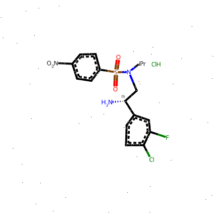 CC(C)N(C[C@@H](N)c1ccc(Cl)c(F)c1)S(=O)(=O)c1ccc([N+](=O)[O-])cc1.Cl